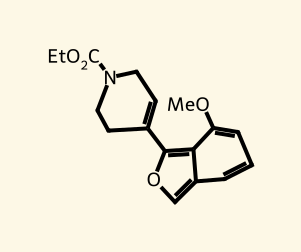 CCOC(=O)N1CC=C(c2occ3cccc(OC)c23)CC1